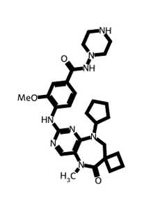 COc1cc(C(=O)NN2CCNCC2)ccc1Nc1ncc2c(n1)N(C1CCCC1)CC1(CCC1)C(=O)N2C